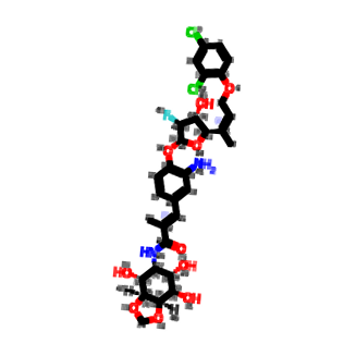 C/C(=C/COc1ccc(Cl)cc1Cl)[C@H]1O[C@@H](Oc2ccc(/C=C(\C)C(=O)N[C@@H]3[C@H](O)[C@@H](O)[C@H]4OCO[C@H]4[C@@H]3O)cc2N)[C@@H](F)[C@@H]1O